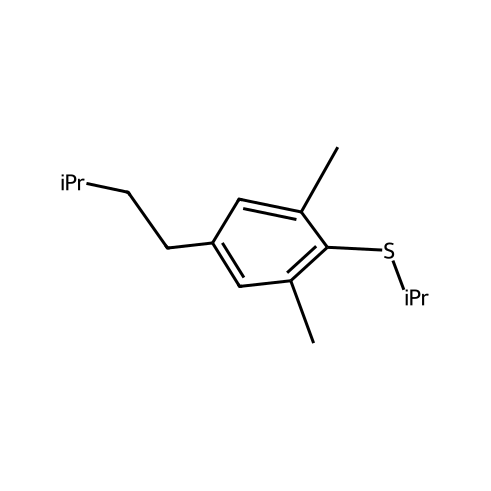 Cc1cc(CCC(C)C)cc(C)c1SC(C)C